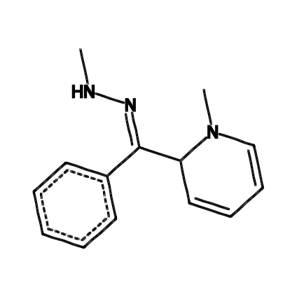 CN/N=C(\c1ccccc1)C1C=CC=CN1C